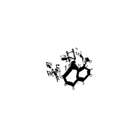 CN(C)c1cccc2cccc([NH+](C)C)c12.[F][Al-]([F])([F])[F]